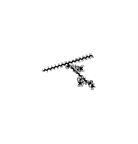 CCCCCCCCCCCCCCC(CCCCCCCCCCCCCC)C(=O)NCCCN(CCCCN(CCCNC(=O)OC(C)(C)C)C(=O)OC(C)(C)C)C(=O)OC(C)(C)C